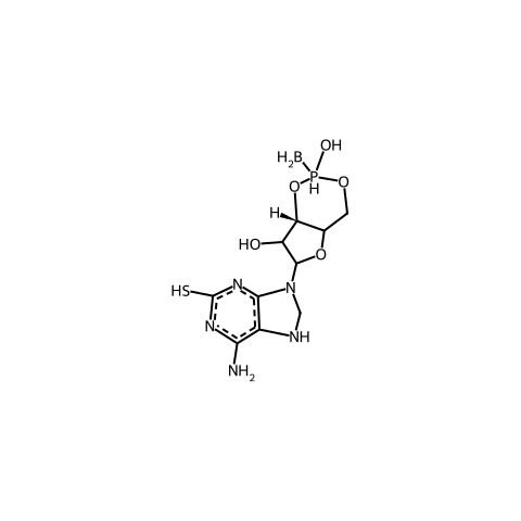 B[PH]1(O)OCC2OC(N3CNc4c(N)nc(S)nc43)C(O)[C@@H]2O1